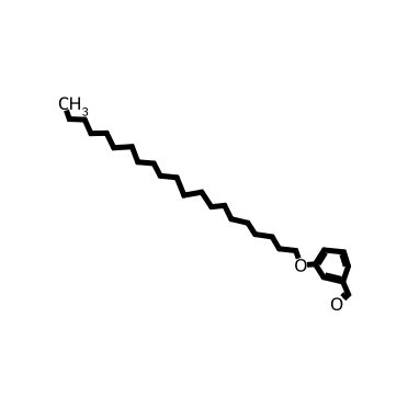 CCCCCCCCCCCCCCCCCCCCCOc1cccc(C=O)c1